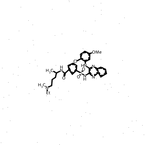 CCN(C)CCCC(C)NC(=O)c1cccc(S(=O)(=O)Nc2nc3ccccc3nc2Nc2cc(OC)ccc2Cl)c1